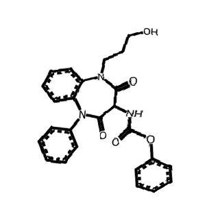 O=C(NC1C(=O)N(CCCO)c2ccccc2N(c2ccccc2)C1=O)Oc1ccccc1